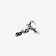 C=CCNc1nc(NCC=C)nc(N2CCC(OC(=O)c3ccc4c(c3)C=COO4)CC2)n1